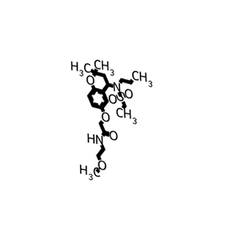 CCCN(C1CC(C)(C)Oc2ccc(OCC(=O)NCCOC)cc21)S(=O)(=O)CC